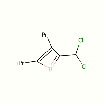 CC(C)C1=C(C(C)C)C(C(Cl)Cl)=B1